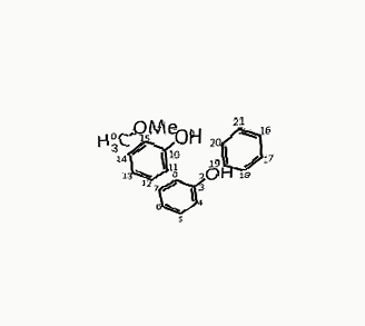 COC.Oc1ccccc1.Oc1ccccc1.c1ccccc1